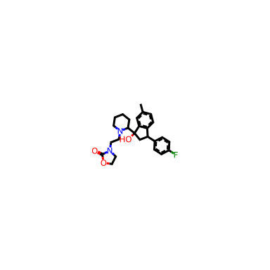 Cc1ccc2c(c1)C(O)(C1CCCCN1CCN1CCOC1=O)CC2c1ccc(F)cc1